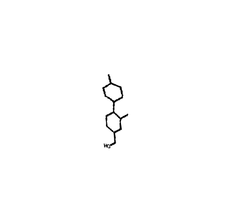 CC1CCC(C2CCC(CO)CC2C)CC1